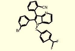 N#Cc1ccccc1-c1c(-c2cccc(Br)c2)n(Sc2ccc(C(F)F)cc2)c2cccnc12